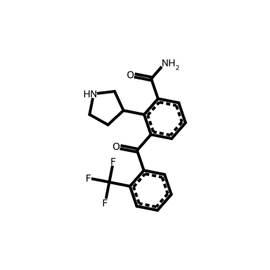 NC(=O)c1cccc(C(=O)c2ccccc2C(F)(F)F)c1C1CCNC1